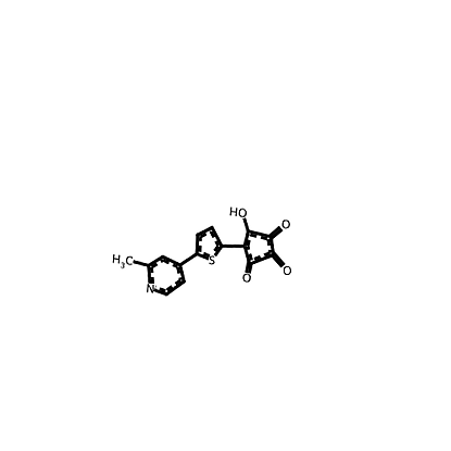 Cc1cc(-c2ccc(-c3c(O)c(=O)c(=O)c3=O)s2)ccn1